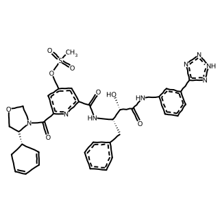 CS(=O)(=O)Oc1cc(C(=O)N[C@@H](Cc2ccccc2)[C@H](O)C(=O)Nc2cccc(-c3nn[nH]n3)c2)nc(C(=O)N2COCC2[C@@H]2C=CC=CC2)c1